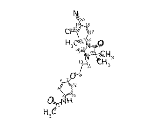 CC(=O)Nc1ccc(OCCCN2C(=S)N(c3ccc(C#N)c(Cl)c3C)C(=O)C2(C)C)cc1